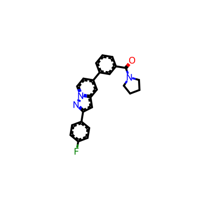 O=C(c1cccc(-c2ccn3nc(-c4ccc(F)cc4)cc3c2)c1)N1CCCC1